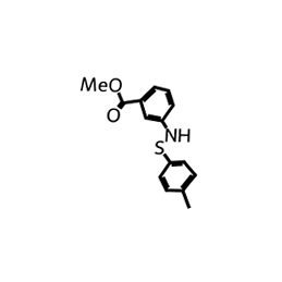 COC(=O)c1cccc(NSc2ccc(C)cc2)c1